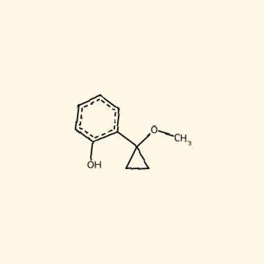 COC1(c2ccccc2O)CC1